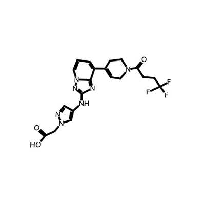 O=C(O)Cn1cc(Nc2nc3c(C4=CCN(C(=O)CCC(F)(F)F)CC4)cccn3n2)cn1